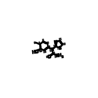 Cc1ccc(N(C(N)=O)c2nccs2)cc1O